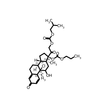 CCCOC(=O)O[C@]1(C(=O)COC(=O)OCC(C)C)CC[C@H]2[C@@H]3CCC4=CC(=O)C=C[C@]4(C)[C@@]3(Cl)C(O)C[C@@]21C